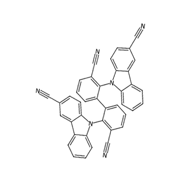 N#Cc1ccc2c(c1)c1ccccc1n2-c1c(C#N)cccc1-c1cccc(C#N)c1-n1c2ccccc2c2cc(C#N)ccc21